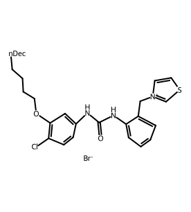 CCCCCCCCCCCCCCOc1cc(NC(=O)Nc2ccccc2C[n+]2ccsc2)ccc1Cl.[Br-]